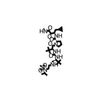 CNC(=O)C(=O)C(CC1CC1)NC(=O)[C@@H]1CCCN1C(=O)[C@@H](NC(=O)N[C@H](CNCCN(C(C)C)S(C)(=O)=O)C(C)(C)C)C(C)(C)C